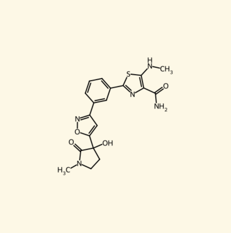 CNc1sc(-c2cccc(-c3cc(C4(O)CCN(C)C4=O)on3)c2)nc1C(N)=O